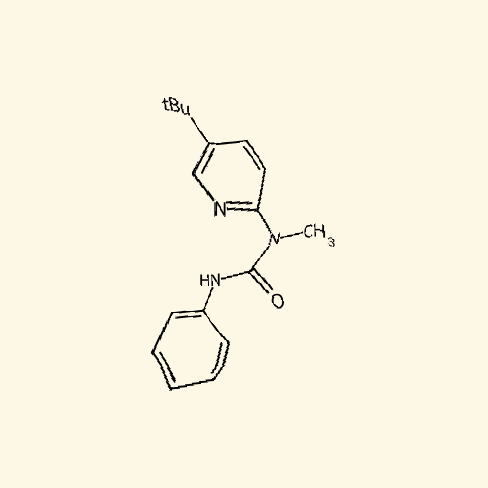 CN(C(=O)Nc1ccccc1)c1ccc(C(C)(C)C)cn1